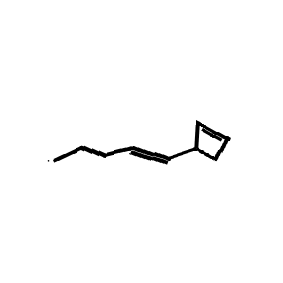 [CH2]CCC=CC1C=CC1